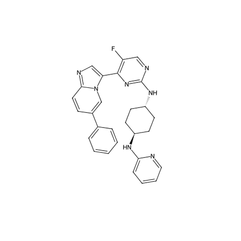 Fc1cnc(N[C@H]2CC[C@H](Nc3ccccn3)CC2)nc1-c1cnc2ccc(-c3ccccc3)cn12